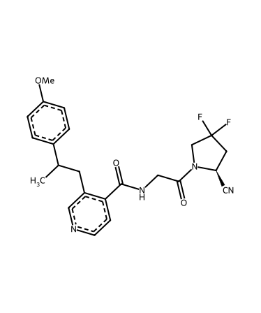 COc1ccc(C(C)Cc2cnccc2C(=O)NCC(=O)N2CC(F)(F)C[C@H]2C#N)cc1